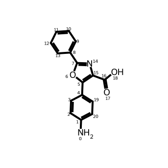 Nc1ccc(-c2oc(-c3ccccc3)nc2C(=O)O)cc1